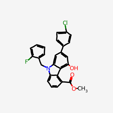 COC(=O)c1cccc2c1c1c(O)cc(-c3ccc(Cl)cc3)cc1n2Cc1ccccc1F